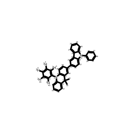 [2H]c1c([2H])c([2H])c(N2c3ccccc3C(C)(C)c3cc(-c4ccc5c(c4)c4ccccc4n5-c4ccccc4)ccc32)c([2H])c1[2H]